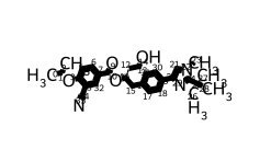 CC(C)Oc1ccc(C(=O)O[C@H](CCO)Cc2ccc(-c3cn(C)c(C(C)(C)C)n3)cc2)cc1C#N